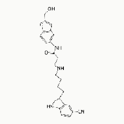 N#Cc1ccc2c(c1)C(CCCCNCCC(=O)Nc1ccc3oc(CO)cc3c1)CN2